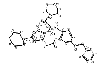 CC(C)C[C@H](NC(=O)N1CCCCCC1)C(=O)N[C@@H](Cc1ccc(OCc2ccccc2)cc1)C(=O)N1CCSCC1